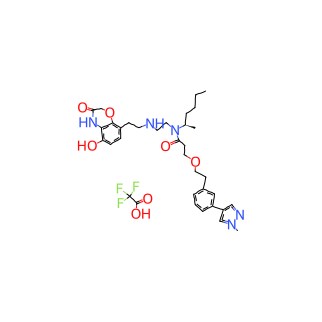 CCCC[C@@H](C)N(CCNCCc1ccc(O)c2c1OCC(=O)N2)C(=O)CCOCCc1cccc(-c2cnn(C)c2)c1.O=C(O)C(F)(F)F